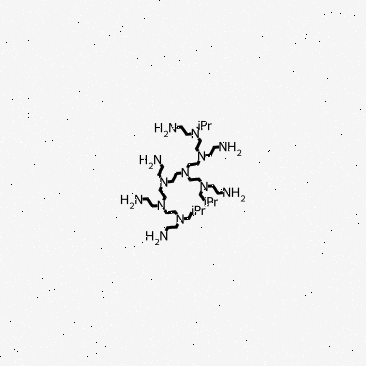 CC(C)CN(CCN)CCN(CCN)CCN(CCN)CCN(CCN(CCN)CCN(CCN)C(C)C)CCN(CCN)CC(C)C